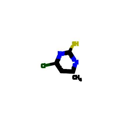 C.Sc1nccc(Cl)n1